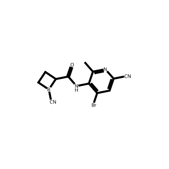 Cc1nc(C#N)cc(Br)c1NC(=O)C1CCB1C#N